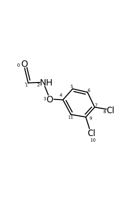 O=[C]NOc1ccc(Cl)c(Cl)c1